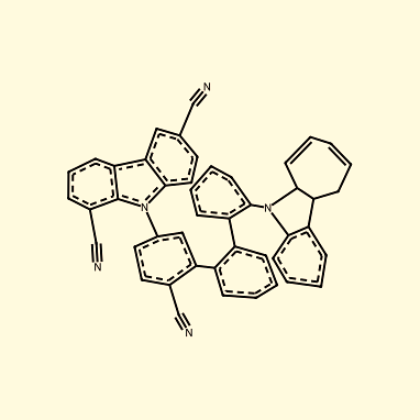 N#Cc1ccc2c(c1)c1cccc(C#N)c1n2-c1ccc(C#N)c(-c2ccccc2-c2ccccc2N2c3ccccc3C3CC=CC=CC32)c1